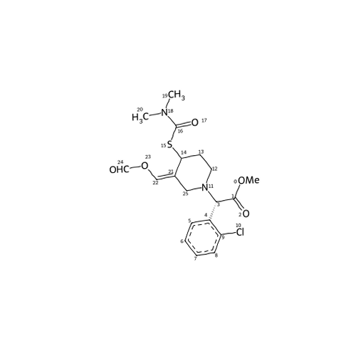 COC(=O)[C@H](c1ccccc1Cl)N1CCC(SC(=O)N(C)C)/C(=C\OC=O)C1